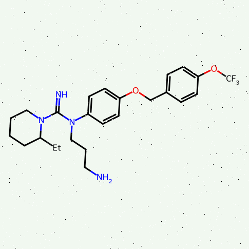 CCC1CCCCN1C(=N)N(CCCN)c1ccc(OCc2ccc(OC(F)(F)F)cc2)cc1